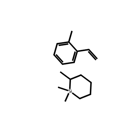 C=Cc1ccccc1C.CC1CCCC[Si]1(C)C